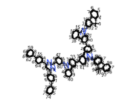 CC1(C)c2ccccc2-c2ccc(-n3c4ccccc4c4cc(-c5ccc6c(c5)c5cc(-c7ccc8c(c7)c7ccccc7n8-c7cccc(-c8nc(-c9ccc(-c%10ccccc%10)cc9)cc(-c9ccc(-c%10ccccc%10)cc9)n8)c7)ccc5n6-c5ccc6c(c5)C(C)(C)c5ccccc5-6)ccc43)cc21